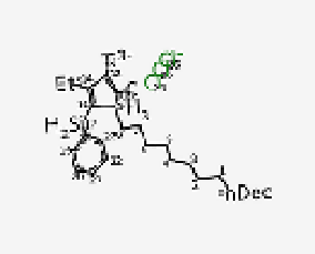 CCCCCCCCCCCCCCCCCCC1C(C)=[C]([Ti+3])C(CC)=C1[SiH2]c1ccccc1.[Cl-].[Cl-].[Cl-]